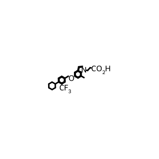 Cc1cc(OCc2ccc(C3CCCCC3)c(C(F)(F)F)c2)cc2ccn(CCC(=O)O)c12